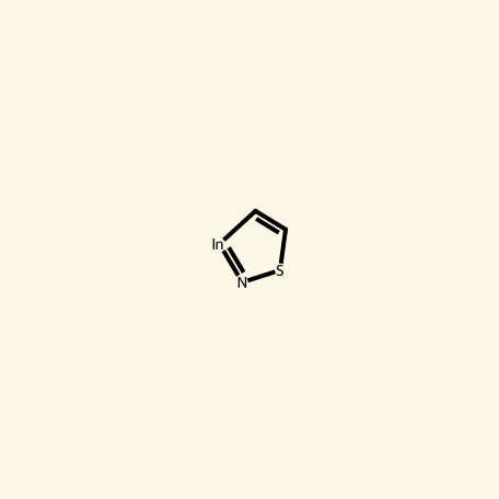 C1=[CH][In]=[N]S1